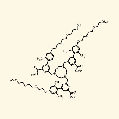 COCCOCCOCCOc1cc(C)c(-c2cc(CN3CCN(Cc4cc(-c5c(C)cc(OCCOCCOCCOC)cc5C)cc(C(=O)OC)n4)CCN(Cc4cc(-c5ccc(OCCOCCOCCOS)cc5C)cc(C(=O)OS)n4)CC3)nc(C(=O)OC)c2)c(C)c1